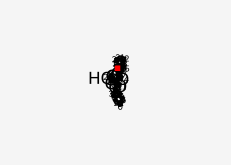 CC1CC2CC(C1)CC(OC(=O)C(C(=O)OC1(C)CC3CCCC(C3)C1)S(=O)(=O)O)C2